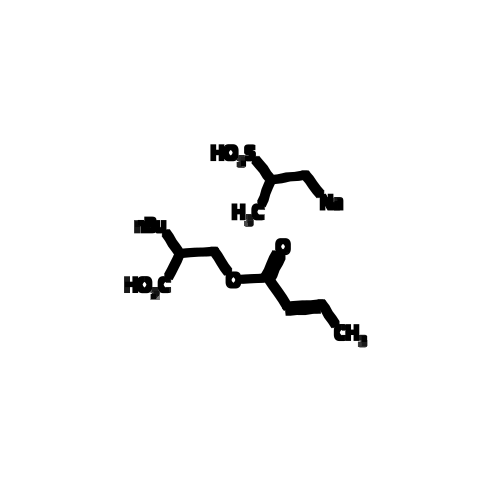 CC([CH2][Na])S(=O)(=O)O.CC=CC(=O)OCC(CCCC)C(=O)O